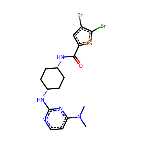 CN(C)c1ccnc(N[C@H]2CC[C@@H](NC(=O)c3cc(Br)c(Br)s3)CC2)n1